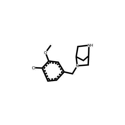 COc1cc(CN2CC3CC2CN3)ccc1Cl